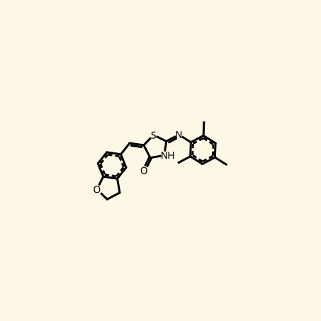 Cc1cc(C)c(N=C2NC(=O)C(=Cc3ccc4c(c3)CCO4)S2)c(C)c1